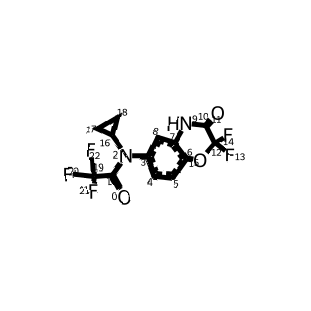 O=C(N(c1ccc2c(c1)NC(=O)C(F)(F)O2)C1CC1)C(F)(F)F